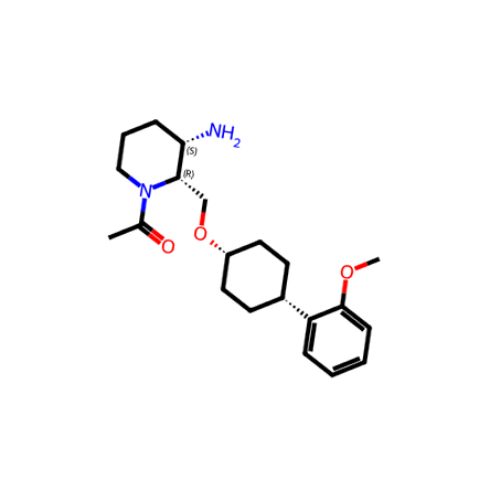 COc1ccccc1[C@H]1CC[C@@H](OC[C@H]2[C@@H](N)CCCN2C(C)=O)CC1